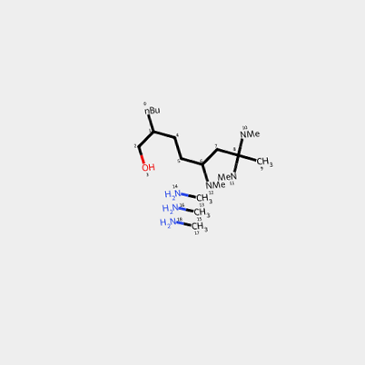 CCCCC(CO)CCC(CC(C)(NC)NC)NC.CN.CN.CN